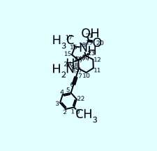 Cc1cccc(C#C[C@]2(N)CCC[C@@H]3[C@H]2CC(C)N3C(=O)O)c1